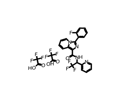 O=C(NC(c1ccccn1)C(F)(F)F)c1nc(-c2ccccc2F)n2ccccc12.O=C(O)C(F)(F)F.O=C(O)C(F)(F)F